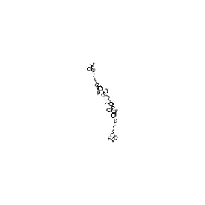 C=C(F)C(=O)OCCCCCCOc1ccc(C(=O)Oc2ccc3c(c2)C(C)c2cc(OC(=O)c4ccc(OCCCCCCOC(=O)C(=C)F)cc4F)ccc2-3)c(F)c1